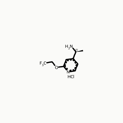 C[C@H](N)c1ccnc(OCC(F)(F)F)c1.Cl